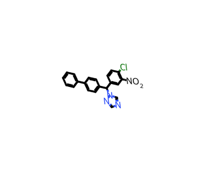 O=[N+]([O-])c1cc(C(c2ccc(-c3ccccc3)cc2)n2cncn2)ccc1Cl